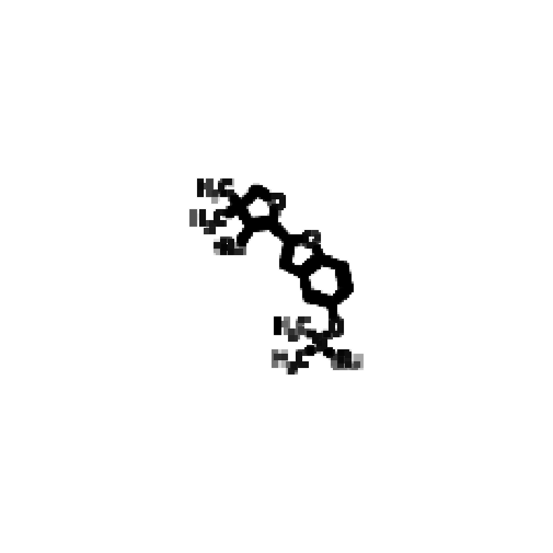 CC(C)(C)C1=C(c2cc3cc(O[Si](C)(C)C(C)(C)C)ccc3o2)OCC1(C)C